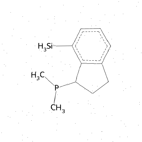 CP(C)C1CCc2cccc([SiH3])c21